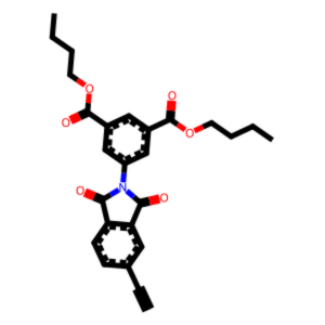 C#Cc1ccc2c(c1)C(=O)N(c1cc(C(=O)OCCCC)cc(C(=O)OCCCC)c1)C2=O